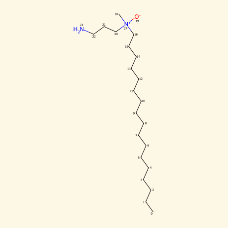 CCCCCCCCCCCCCCCCC[N+](C)([O-])CCCN